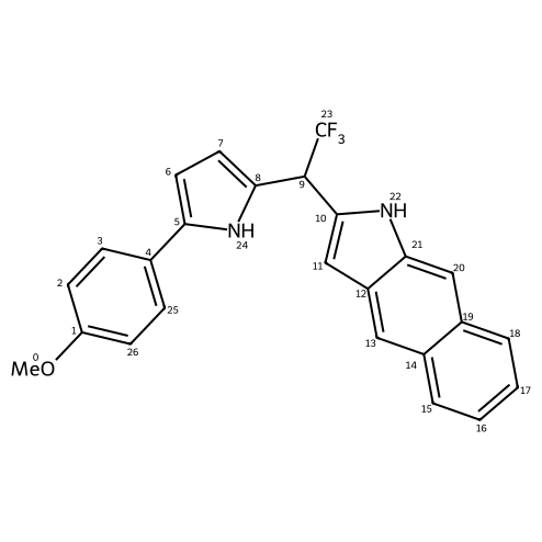 COc1ccc(-c2ccc(C(c3cc4cc5ccccc5cc4[nH]3)C(F)(F)F)[nH]2)cc1